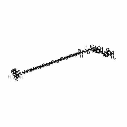 CN1C(=O)C[C@H](C(=O)NCCOCCOCCOCCOCCOCCOCCOCCOCCOCCOCCOCCOCCC(=O)NCCNC(=O)CC[C@H](NC(=O)c2ccc(NCc3cnc4nc(N)[nH]c(=O)c4n3)cc2)C(=O)O)[C@H]1c1cccnc1